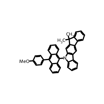 COc1ccc(-c2c3ccccc3c(-n3c4ccccc4c4cc5c(cc43)C(C)(C)c3ccccc3-5)c3ccccc23)cc1